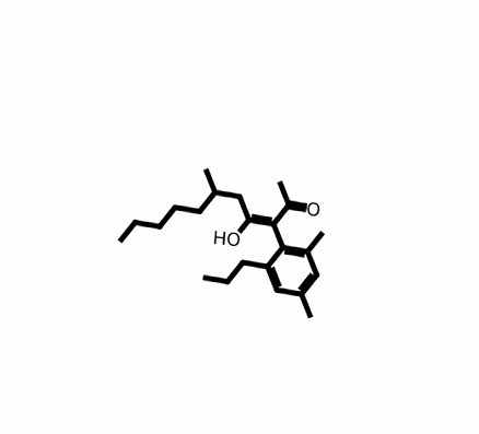 CCCCCC(C)C/C(O)=C(\C(C)=O)c1c(C)cc(C)cc1CCC